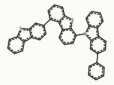 c1ccc(-c2ccc3c4ccccc4n(-c4cccc5c4sc4cccc(-c6ccc7c(c6)sc6ccccc67)c45)c3c2)cc1